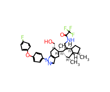 C[C@@H]1C[C@H]([C@@]2(C)Cc3cnn(-c4ccc(Oc5ccc(F)cc5)cc4)c3C[C@@H]2CO)[C@@H](CNC(=O)C(F)(F)F)[C@H]2CC[C@H](C)[C@@H]21